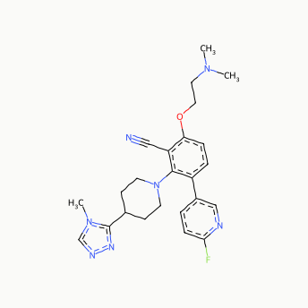 CN(C)CCOc1ccc(-c2ccc(F)nc2)c(N2CCC(c3nncn3C)CC2)c1C#N